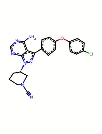 N#CN1CCC[C@@H](n2nc(-c3ccc(Oc4ccc(Cl)cc4)cc3)c3c(N)ncnc32)C1